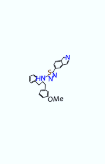 COc1cccc(CC(Cc2ccccc2)Nc2nnc(-c3ccc4cnccc4c3)s2)c1